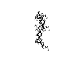 CCOc1cncc(-c2ccc(NC(=O)C(C)(C)c3ccnc(NS(=O)(=O)C4(C)CC4)n3)cc2)n1